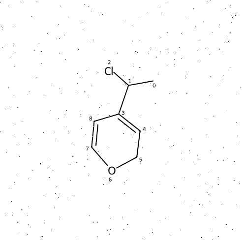 CC(Cl)C1=CCOC=C1